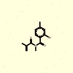 C=C(C)C(=O)N(C)C(=O)c1ccc(C)cc1Br